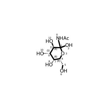 CC(=O)NC1(O)O[C@H](CO)[C@H](O)[C@H](O)[C@H]1O